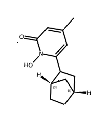 Cc1cc(C2C[C@@H]3CC[C@H]2C3)n(O)c(=O)c1